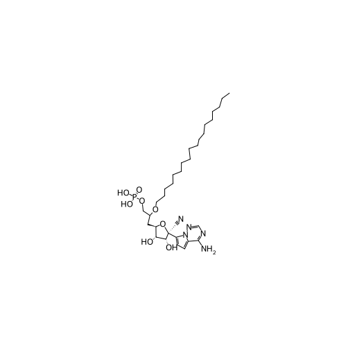 CCCCCCCCCCCCCCCCCCOC(COP(=O)(O)O)C[C@H]1O[C@@](C#N)(c2ccc3c(N)ncnn23)[C@H](O)[C@@H]1O